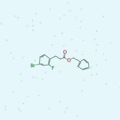 O=C(CCc1ccc(Br)cc1F)OCc1ccccc1